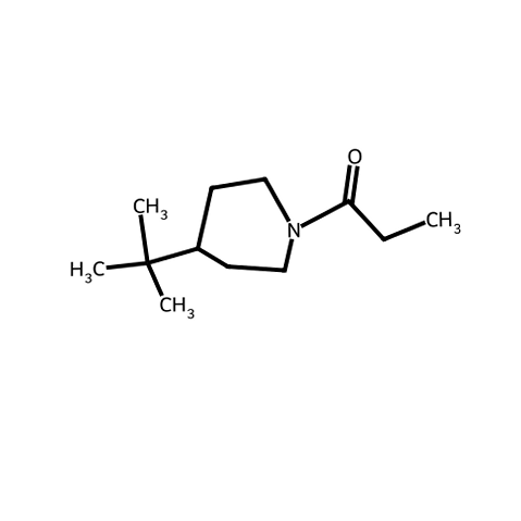 CCC(=O)N1CCC(C(C)(C)C)CC1